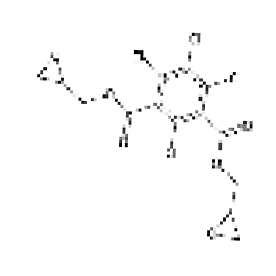 O=C(OCC1CO1)c1c(Cl)c(Cl)c(Cl)c(C(=O)OCC2CO2)c1Cl